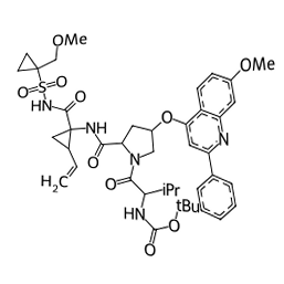 C=CC1CC1(NC(=O)C1CC(Oc2cc(-c3ccccc3)nc3cc(OC)ccc23)CN1C(=O)C(NC(=O)OC(C)(C)C)C(C)C)C(=O)NS(=O)(=O)C1(COC)CC1